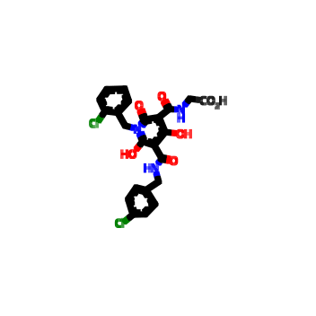 O=C(O)CNC(=O)c1c(O)c(C(=O)NCc2ccc(Cl)cc2)c(O)n(Cc2ccccc2Cl)c1=O